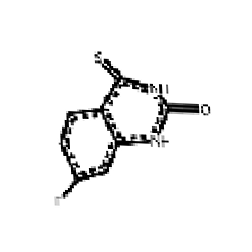 O=c1[nH]c(=S)c2ccc(F)cc2[nH]1